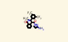 CN1C(=O)c2ccccc2C(C(=O)n2ccc(N)n2)C1c1cc(C(F)(F)F)cc(C(F)(F)F)c1